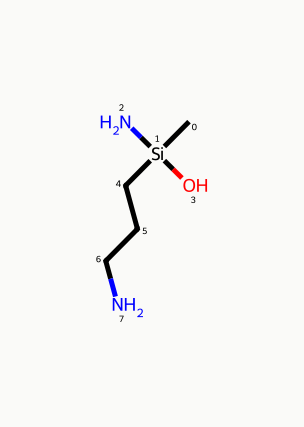 C[Si](N)(O)CCCN